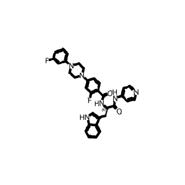 O=C(N[C@H](Cc1c[nH]c2ccccc12)C(=O)Nc1ccncc1)c1ccc(N2CCN(c3cccc(F)c3)CC2)cc1F